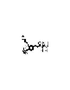 CNC(=N)NC(=O)CCc1ccc(-c2ncco2)c(OCCCOC)c1